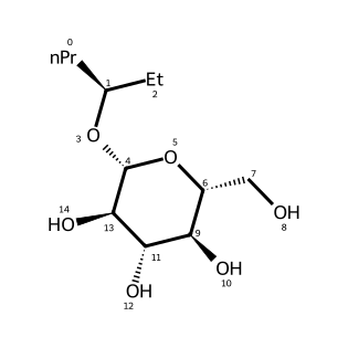 CCC[C@@H](CC)O[C@@H]1O[C@H](CO)[C@@H](O)[C@H](O)[C@H]1O